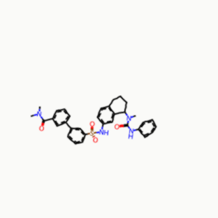 CN(C)C(=O)c1cccc(-c2cccc(S(=O)(=O)Nc3ccc4c(c3)C(N(C)C(=O)Nc3ccccc3)CCC4)c2)c1